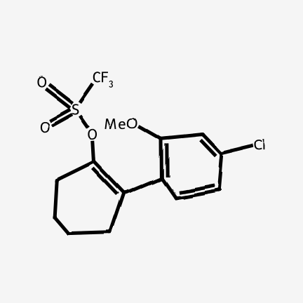 COc1cc(Cl)ccc1C1=C(OS(=O)(=O)C(F)(F)F)CCCC1